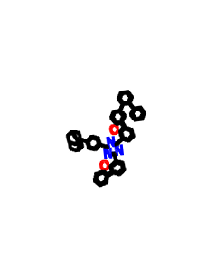 c1ccc(-c2ccccc2-c2ccc3oc4c(-c5nc(-c6ccc(C78CC9CC(CC(C9)C7)C8)cc6)nc(-c6cccc7c6oc6ccccc67)n5)cccc4c3c2)cc1